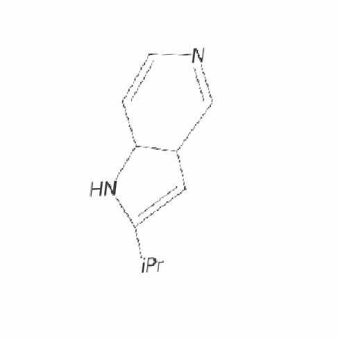 CC(C)C1=CC2C=NC=CC2N1